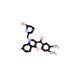 Cc1ccc(C(=O)c2cn(Cc3cccc(Br)n3)c3cc(F)ccc3c2=O)cc1C